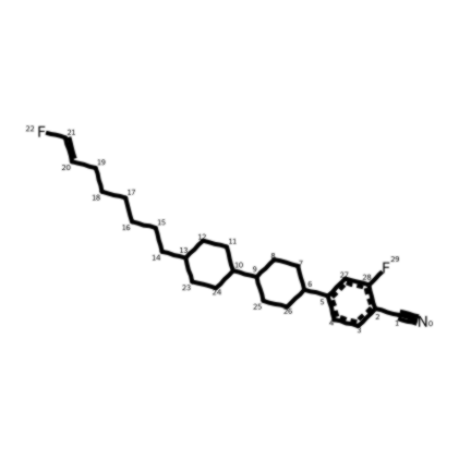 N#Cc1ccc(C2CCC(C3CCC(CCCCCC/C=C/F)CC3)CC2)cc1F